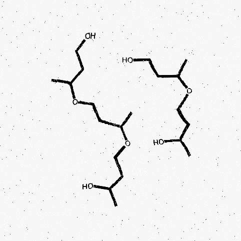 CC(O)CCOC(C)CCO.CC(O)CCOC(C)CCOC(C)CCO